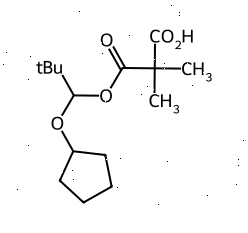 CC(C)(C(=O)O)C(=O)OC(OC1CCCC1)C(C)(C)C